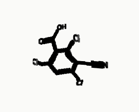 N#Cc1c(Cl)cc(Cl)c(C(=O)O)c1Cl